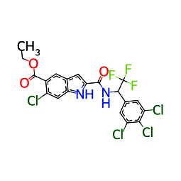 CCOC(=O)c1cc2cc(C(=O)NC(c3cc(Cl)c(Cl)c(Cl)c3)C(F)(F)F)[nH]c2cc1Cl